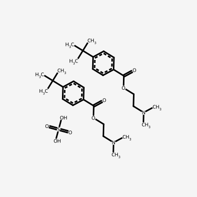 CN(C)CCOC(=O)c1ccc(C(C)(C)C)cc1.CN(C)CCOC(=O)c1ccc(C(C)(C)C)cc1.O=S(=O)(O)O